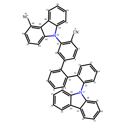 N#Cc1ccc(-c2ccccc2-c2ccccc2-n2c3ccccc3c3ccccc32)cc1-n1c2ccccc2c2c(C#N)cccc21